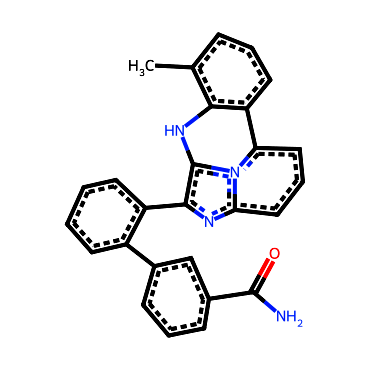 Cc1cccc2c1Nc1c(-c3ccccc3-c3cccc(C(N)=O)c3)nc3cccc-2n13